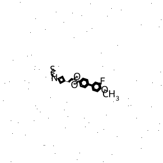 COc1ccc(-c2ccc(S(=O)(=O)CC[C@H]3C[C@@H](N=C=S)C3)cc2)cc1F